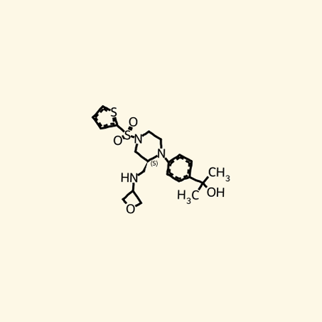 CC(C)(O)c1ccc(N2CCN(S(=O)(=O)c3cccs3)C[C@@H]2CNC2COC2)cc1